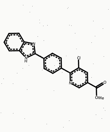 COC(=O)c1cnc(-c2ccc(-c3nc4ccccc4[nH]3)cc2)c(Cl)c1